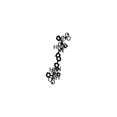 COC(=O)NC[C@H](C(=O)N1CCC[C@H]1c1nc(-c2ccc3cc(-c4ccc5[nH]c([C@@H]6CCCN6C(=O)[C@@H](NC(=O)OC)c6ccccc6)nc5c4)ccc3c2)c[nH]1)c1ccccc1